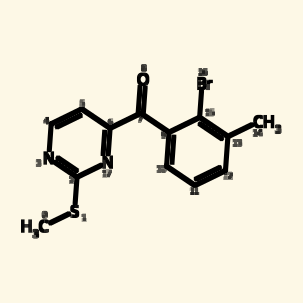 CSc1nccc(C(=O)c2cccc(C)c2Br)n1